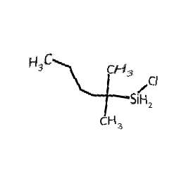 CCCC(C)(C)[SiH2]Cl